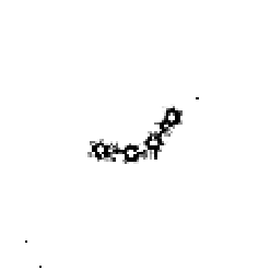 c1ccc2sc(-c3ccc(Nc4ccc(-c5nc6ccccc6s5)cc4)cc3)cc2c1